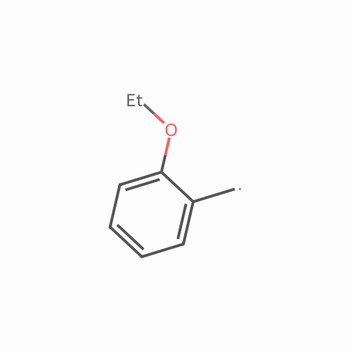 [CH2]c1ccccc1OCC